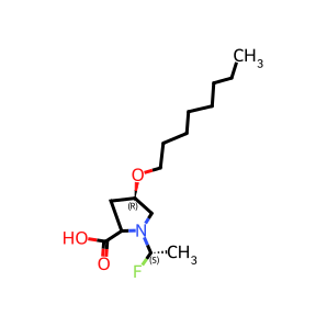 CCCCCCCCO[C@@H]1CC(C(=O)O)N([C@H](C)F)C1